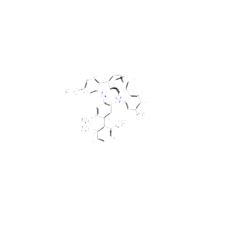 N#Cc1cc(-n2c3ccccc3c3ccc(C(F)(F)F)cc32)c(-n2c3ccccc3c3ccc(C(F)(F)F)cc32)cc1-c1c(C#N)cccc1C(F)(F)F